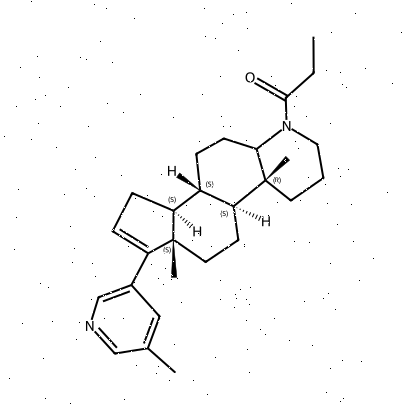 CCC(=O)N1CCC[C@@]2(C)C1CC[C@@H]1[C@@H]2CC[C@]2(C)C(c3cncc(C)c3)=CC[C@@H]12